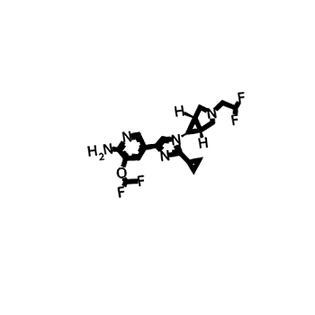 Nc1ncc(-c2cn([C@@H]3[C@@H]4CN(CC(F)F)C[C@@H]43)c(C3CC3)n2)cc1OC(F)F